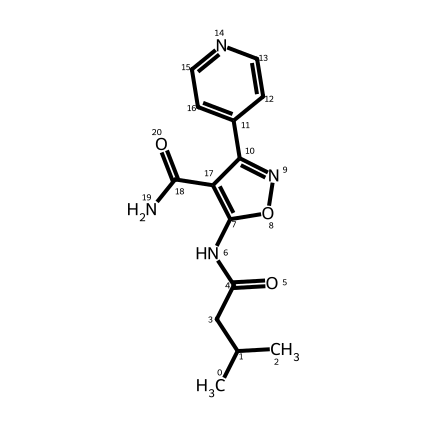 CC(C)CC(=O)Nc1onc(-c2ccncc2)c1C(N)=O